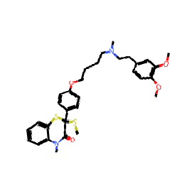 COc1ccc(CCN(C)CCCCOc2ccc(C3(SC)Sc4ccccc4N(C)C3=O)cc2)cc1OC